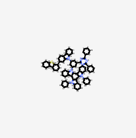 c1ccc(-c2nc(-c3ccccc3)nc(-c3cc(-n4c5ccccc5c5ccc(-c6cccc7c6sc6ccccc67)cc54)cc(-n4c5ccccc5c5c6c(c7ccccc7n6-c6ccccc6)c6c(c7ccccc7n6-c6ccccc6)c54)c3)n2)cc1